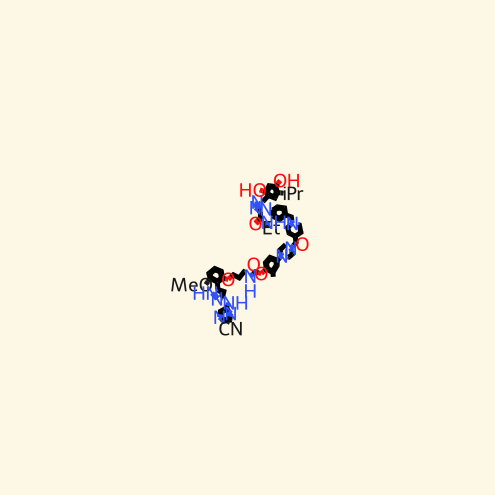 CCNC(=O)c1nnc(-c2cc(C(C)C)c(O)cc2O)n1-c1ccc(CN2CCC(C(=O)N3CCN(c4ccc(OC(=O)NCCCOc5cccc(OC)c5-c5cc(Nc6cnc(C#N)cn6)n[nH]5)c(C)c4)CC3)CC2)cc1